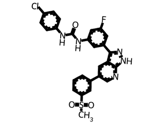 CS(=O)(=O)c1cccc(-c2cnc3[nH]nc(-c4cc(F)cc(NC(=O)Nc5ccc(Cl)cc5)c4)c3c2)c1